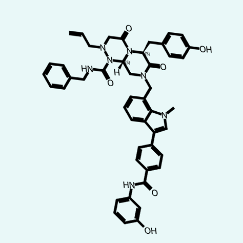 C=CCN1CC(=O)N2[C@@H](Cc3ccc(O)cc3)C(=O)N(Cc3cccc4c(-c5ccc(C(=O)Nc6cccc(O)c6)cc5)cn(C)c34)C[C@@H]2N1C(=O)NCc1ccccc1